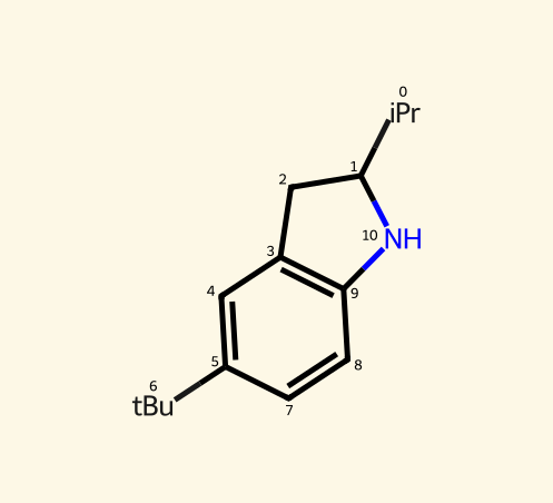 CC(C)C1Cc2cc(C(C)(C)C)ccc2N1